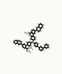 CC(C)c1ccc(-c2ccc3ccccc3c2)cc1-c1ccc(N(c2ccc(-c3cccc(-c4ccccc4)c3)cc2)c2ccc(-c3cc(-c4ccc5ccccc5c4)ccc3C(C)C)cc2)cc1